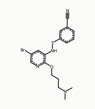 CN(C)CCCOc1ncc(Br)cc1NSc1cccc(C#N)c1